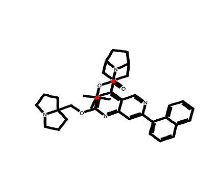 CC(C)(C)OC(=O)N1C2CCC1CN(c1nc(OCC34CCCN3CCC4)nc3cc(-c4cccc5ccccc45)ncc13)C2